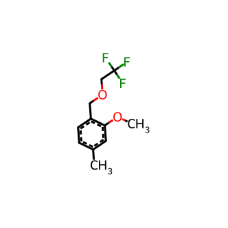 COc1cc(C)ccc1COCC(F)(F)F